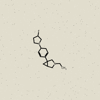 CCN1CC2CC2(C2=CCC(N3CCC(F)C3)C=C2)C1